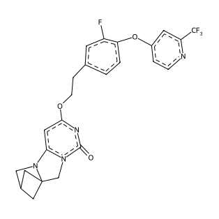 O=c1nc(OCCc2ccc(Oc3ccnc(C(F)(F)F)c3)c(F)c2)cc2n1CC13CC(CN21)C3